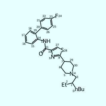 CCCCC(CC)CN1CCC(c2nc(C(=O)Nc3ccccc3-c3ccc(F)cc3)cs2)CC1